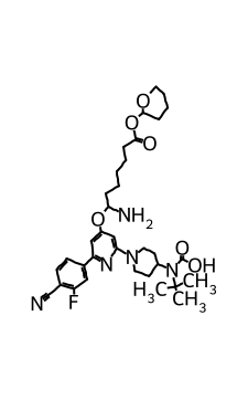 CC(C)(C)N(C(=O)O)C1CCN(c2cc(OC(N)CCCCCC(=O)OC3CCCCO3)cc(-c3ccc(C#N)c(F)c3)n2)CC1